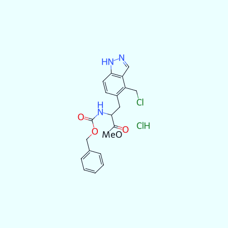 COC(=O)C(Cc1ccc2[nH]ncc2c1CCl)NC(=O)OCc1ccccc1.Cl